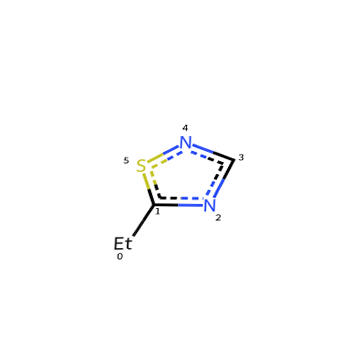 CCc1ncns1